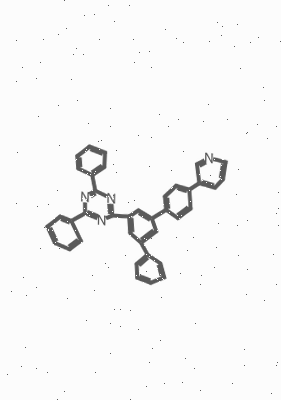 c1ccc(-c2cc(-c3ccc(-c4cccnc4)cc3)cc(-c3nc(-c4ccccc4)nc(-c4ccccc4)n3)c2)cc1